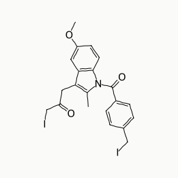 COc1ccc2c(c1)c(CC(=O)CI)c(C)n2C(=O)c1ccc(CI)cc1